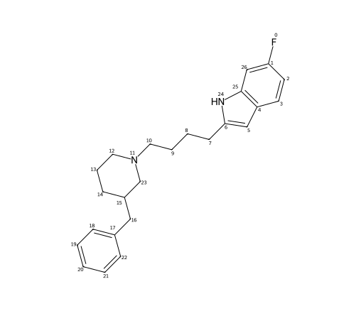 Fc1ccc2cc(CCCCN3CCCC(Cc4ccccc4)C3)[nH]c2c1